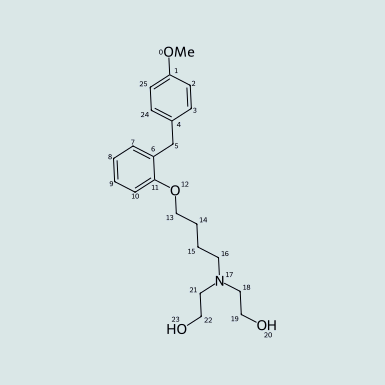 COc1ccc(Cc2ccccc2OCCCCN(CCO)CCO)cc1